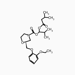 CCOc1ccccc1OC[C@@H]1CN(C(=O)OC(OC(=O)CC(C)C)C(C)C)CCO1